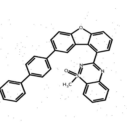 CS1(=O)=NC(c2cccc3oc4ccc(-c5ccc(-c6ccccc6)cc5)cc4c23)=Nc2ccccc21